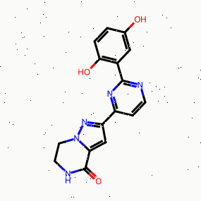 O=C1NCCn2nc(-c3ccnc(-c4cc(O)ccc4O)n3)cc21